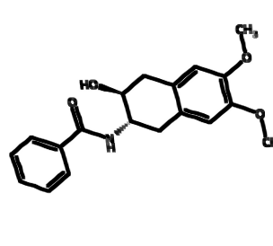 COc1cc2c(cc1OC)C[C@H](O)[C@@H](NC(=O)c1ccccc1)C2